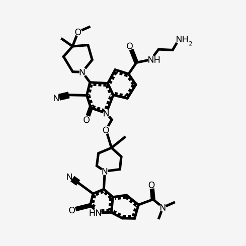 COC1(C)CCN(c2c(C#N)c(=O)n(COC3(C)CCN(c4c(C#N)c(=O)[nH]c5ccc(C(=O)N(C)C)cc45)CC3)c3ccc(C(=O)NCCN)cc23)CC1